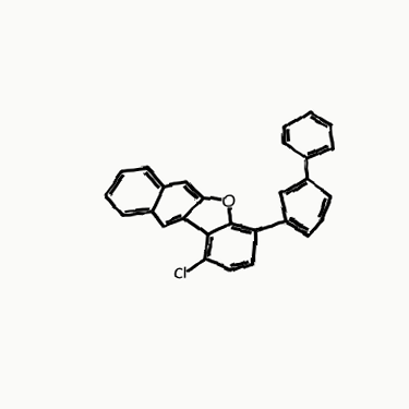 Clc1ccc(-c2cccc(-c3ccccc3)c2)c2oc3cc4ccccc4cc3c12